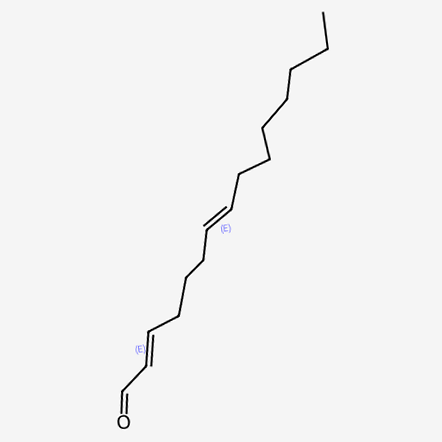 CCCCCCC/C=C/CCC/C=C/C=O